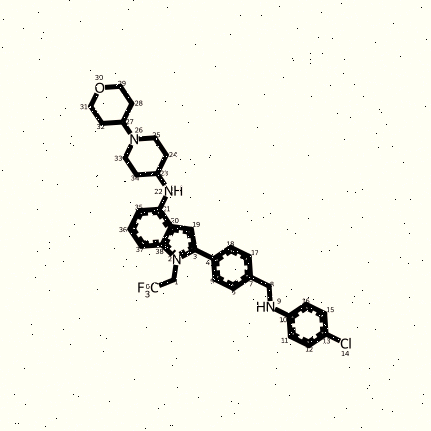 FC(F)(F)Cn1c(-c2ccc(CNc3ccc(Cl)cc3)cc2)cc2c(NC3CCN(C4CCOCC4)CC3)cccc21